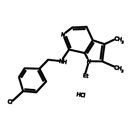 CCn1c(C)c(C)c2ccnc(NCc3ccc(Cl)cc3)c21.Cl